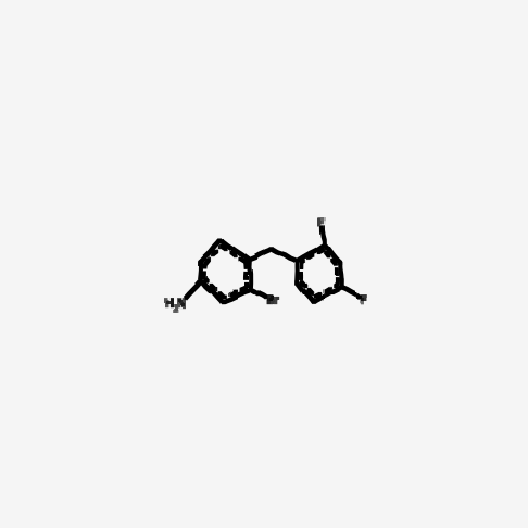 Nc1ccc(Cc2ccc(F)cc2F)c(Br)c1